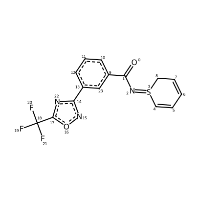 O=C(N=S1C=CC=CC1)c1cccc(-c2noc(C(F)(F)F)n2)c1